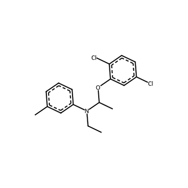 CCN(c1cccc(C)c1)C(C)Oc1cc(Cl)ccc1Cl